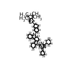 CC1(C)CC(C)(C)c2cc(-c3ccc4ccc(-n5c6ccccc6c6c7c8ccccc8n(-c8nc(-c9ccccc9)nc(C9C=CC=CC9)n8)c7ccc65)cc4c3)ccc21